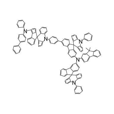 CC1(C)c2ccccc2-c2ccc(N(c3ccc4c(c3)-c3ccccc3C43c4ccccc4N(c4ccccc4)c4ccccc43)c3ccc4c(c3)C3(c5ccc(-c6ccc(N7c8ccccc8C8(c9ccccc9-c9c(N(c%10ccccc%10)c%10ccc(-c%11ccccc%11)cc%10)cccc98)c8ccccc87)cc6)cc5-4)c4ccccc4N(c4ccccc4)c4ccccc43)cc21